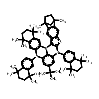 CC(C)(C)c1cc2c3c(c1)N(c1ccc4c(c1)C(C)(C)CCC4(C)C)c1sc4cc5c(cc4c1B3c1cc3c(cc1N2c1ccc2c(c1)C(C)(C)CCC2(C)C)C(C)(C)CCC3(C)C)C1(C)CCC5(C)C1